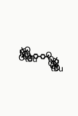 CC(C)(C)OC(=O)N1CCC(C)(C)C1C(=O)OCC(=O)c1ccc(-c2ccc(C(=O)COC(=O)C3N(C(=O)OC(C)(C)C)CCC3(C)C)cc2)cc1